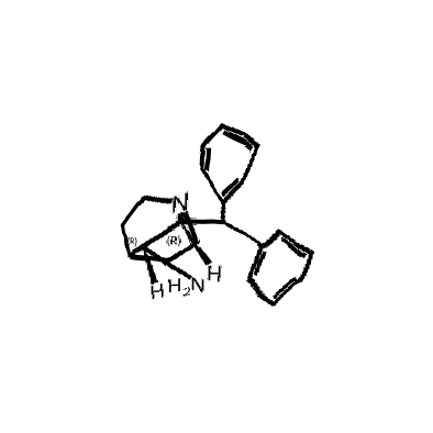 N[C@@H]1C2CCN(CC2)[C@@H]1C(c1ccccc1)c1ccccc1